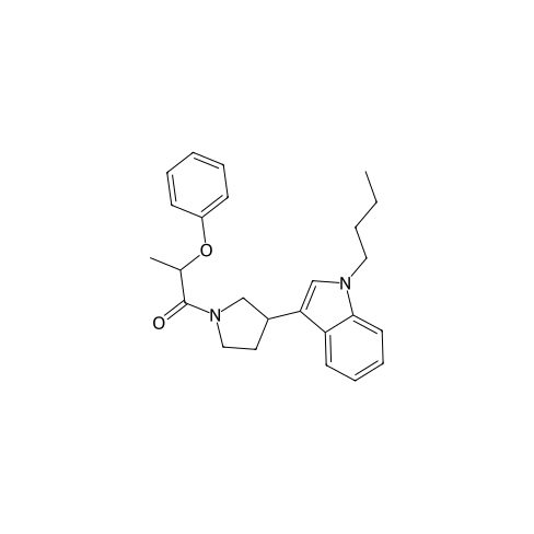 CCCCn1cc(C2CCN(C(=O)C(C)Oc3ccccc3)C2)c2ccccc21